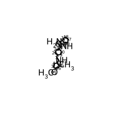 COc1ccc(NCc2ccc(C(=O)Nc3ccccc3N)cc2)c(C)c1